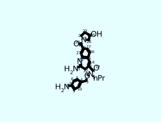 CCCN(OCc1ccc(N)cc1)C(=O)C1=Cc2ccc(C(=O)N3CC[C@H](O)C3)cc2N=C(N)C1